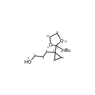 CCCCC1(C2(CCCO)CC2)OCCO1